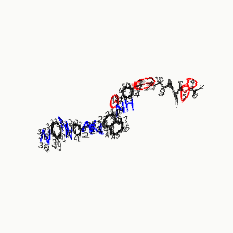 C=C(C)C(=O)OCCCCCCOc1ccc(C(=O)Nc2ccc(/N=N/c3ccc(/N=N/c4ccc(N(C)C)cc4)cc3)c3ccccc23)cc1